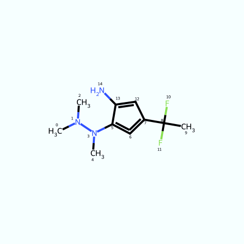 CN(C)N(C)C1=C=C(C(C)(F)F)C=C1N